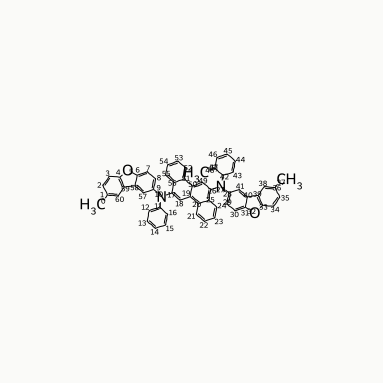 Cc1ccc2oc3ccc(N(c4ccccc4)c4cc5c6ccccc6c(N(c6ccc7oc8ccc(C)cc8c7c6)C6C=CC=C[C@@H]6C)cc5c5ccccc45)cc3c2c1